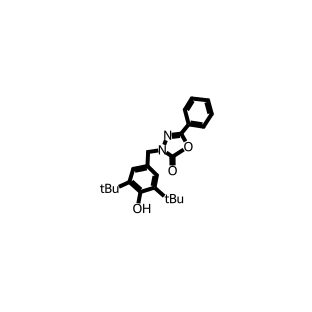 CC(C)(C)c1cc(Cn2nc(-c3ccccc3)oc2=O)cc(C(C)(C)C)c1O